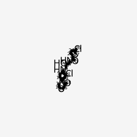 O=C(NC[C@@H](O)CNc1ccc(N2CCOCC2=O)cc1Cl)c1ccc(Cl)s1